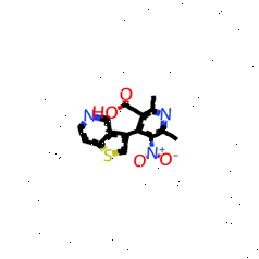 Cc1nc(C)c([N+](=O)[O-])c(-c2csc3ccncc23)c1C(=O)O